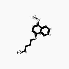 CCCCOc1ccc(SCCCCO)c2ccccc12